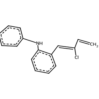 C=CC(Cl)=Cc1ccccc1Nc1ccccc1